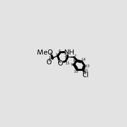 COC(=O)[C@H]1CN[C@@H](Cc2ccc(Cl)cc2)CO1